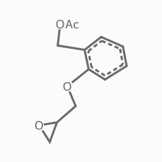 CC(=O)OCc1ccccc1OCC1CO1